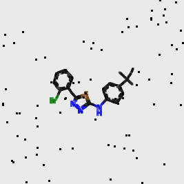 CC(C)(C)c1ccc(Nc2nnc(-c3ccccc3Br)s2)cc1